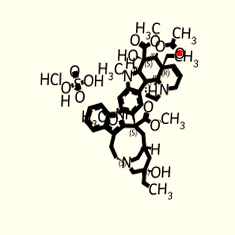 CC[C@]1(O)C[C@@H]2C[N@@](CCc3c([nH]c4ccccc34)[C@@](C(=O)OC)(c3cc4c(cc3OC)N(C)[C@H]3[C@@](O)(C(=O)OC)[C@H](OC(C)=O)[C@]5(CC)C=CCN6CC[C@]43[C@@H]65)C2)C1.Cl.O=S(=O)(O)O